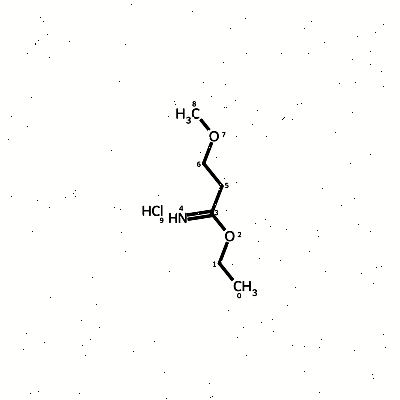 CCOC(=N)CCOC.Cl